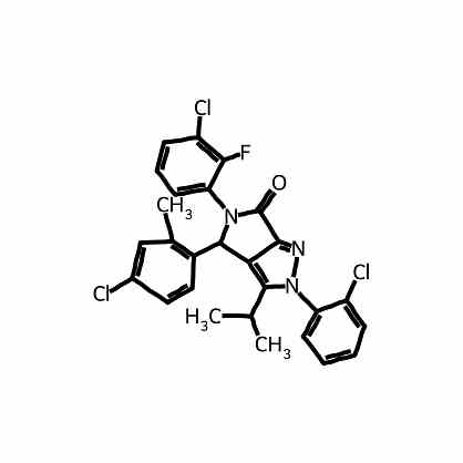 Cc1cc(Cl)ccc1C1c2c(nn(-c3ccccc3Cl)c2C(C)C)C(=O)N1c1cccc(Cl)c1F